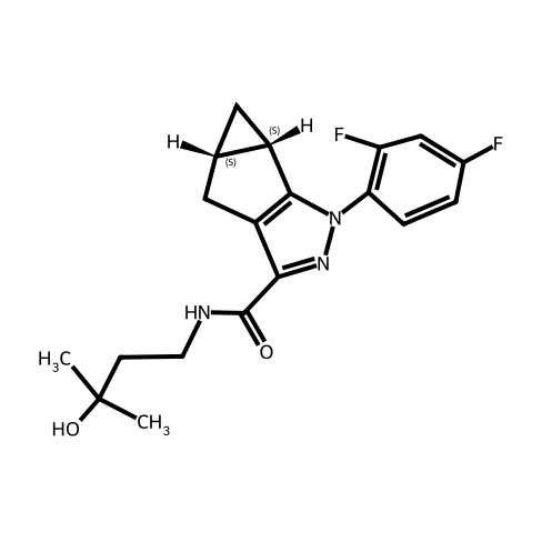 CC(C)(O)CCNC(=O)c1nn(-c2ccc(F)cc2F)c2c1C[C@@H]1C[C@H]21